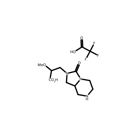 COC(CN1CC2CNCCN2C1=O)C(=O)O.O=C(O)C(F)(F)F